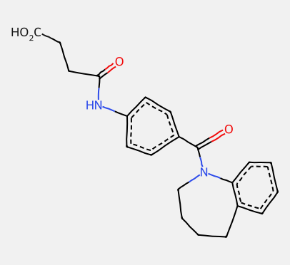 O=C(O)CCC(=O)Nc1ccc(C(=O)N2CCCCc3ccccc32)cc1